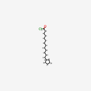 O=C(Cl)CCCCCCCCCCCCC1CCCC1